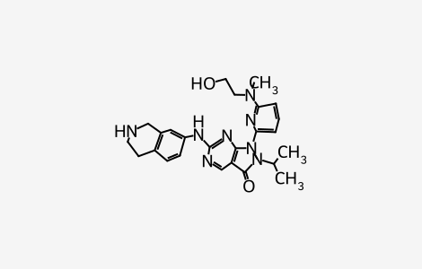 CC(C)n1c(=O)c2cnc(Nc3ccc4c(c3)CNCC4)nc2n1-c1cccc(N(C)CCO)n1